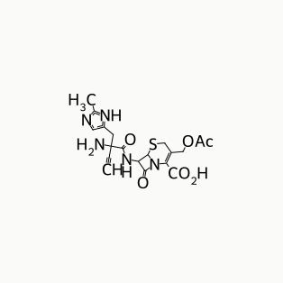 C#CC(N)(Cc1cnc(C)[nH]1)C(=O)NC1C(=O)N2C(C(=O)O)=C(COC(C)=O)CSC12